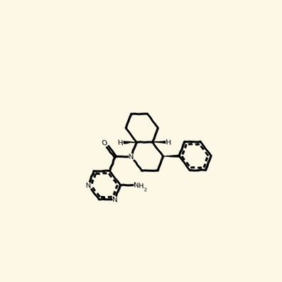 Nc1ncncc1C(=O)N1CC[C@H](c2ccccc2)[C@H]2CCCC[C@H]21